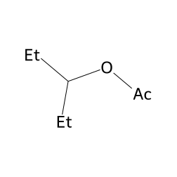 CCC(CC)OC(C)=O